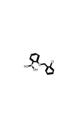 OB(O)c1ccccc1OCc1ccccc1Cl